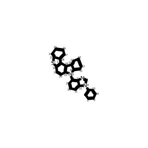 c1ccc(-n2cnc3c(-n4c5ccccc5c5c6c(ccc54)sc4ccccc46)cccc32)cc1